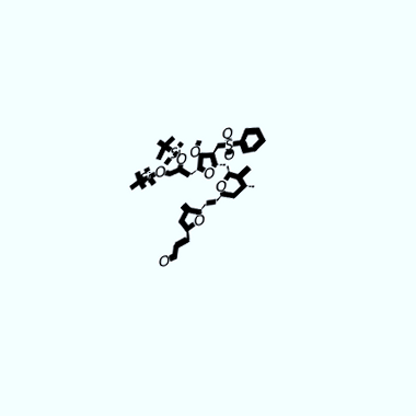 C=C1C[C@H](/C=C/C=O)O[C@H]1CC[C@H]1C[C@@H](C)C(=C)[C@@H](C[C@@H]2O[C@H](CC(CO[Si](C)(C)C(C)(C)C)O[Si](C)(C)C(C)(C)C)[C@H](OC)[C@H]2CS(=O)(=O)c2ccccc2)O1